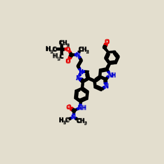 CN(C)C(=O)Nc1ccc(-c2nn(CCN(C)C(=O)OC(C)(C)C)cc2-c2ccnc3[nH]c(-c4cccc(C=O)c4)cc23)cc1